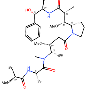 CCC(C)[C@@H]([C@@H](CC(=O)N1CCC[C@H]1[C@H](OC)[C@@H](C)C(=O)N[C@H](C)[C@@H](O)c1ccccc1)OC)N(C)C(=O)[C@@H](NC(=O)[C@@H](NC)C(C)C)C(C)C